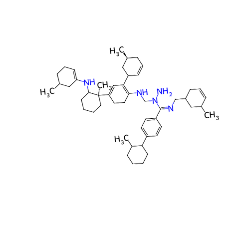 CC1C=CCC(C/N=C(/c2ccc(C3CCCCC3C)cc2)N(N)CNC2=C(C3C=CC[C@H](C)C3)C=C(C3(C)CCCCC3NC3=CCCC(C)C3)CC2)C1